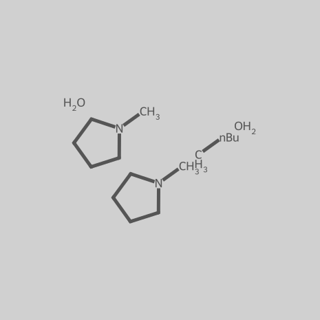 CCCCC.CN1CCCC1.CN1CCCC1.O.O